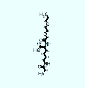 CCCOCCOCC(=O)NC(CCCCNC(=O)CS)C(=O)O